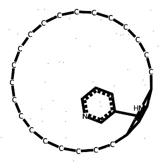 C1=CC2CCCCCCCCCCCCCCCCCCCCCC1NC2c1cccnc1